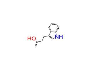 C=C(O)CCc1c[nH]c2ccccc12